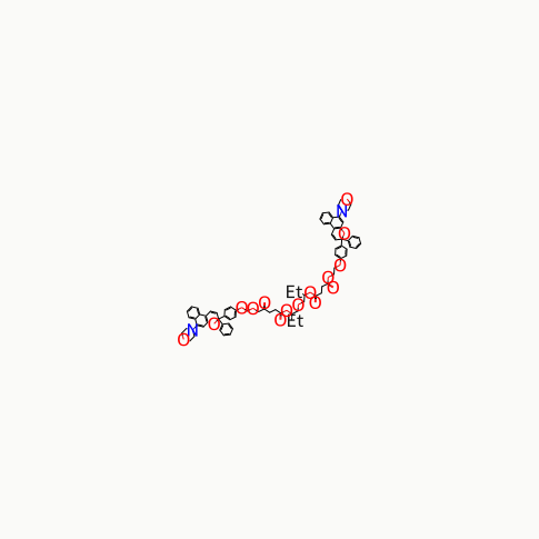 CCC(COCC(CC)OC(=O)CCC(=O)OCCOc1ccc(C2(c3ccccc3)C=Cc3c(cc(N4CCOCC4)c4ccccc34)O2)cc1)OC(=O)CCC(=O)COCOc1ccc(C2(c3ccccc3)C=Cc3c(cc(N4CCOCC4)c4ccccc34)O2)cc1